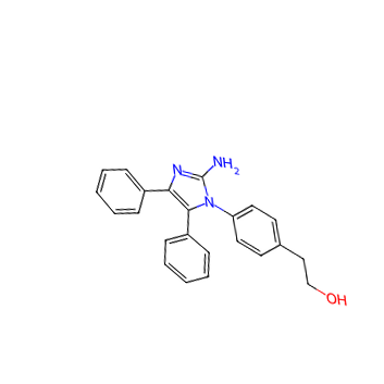 Nc1nc(-c2ccccc2)c(-c2ccccc2)n1-c1ccc(CCO)cc1